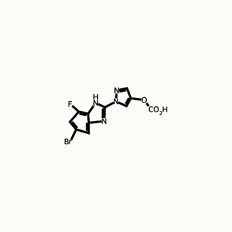 O=C(O)Oc1cnn(-c2nc3cc(Br)cc(F)c3[nH]2)c1